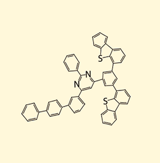 c1ccc(-c2ccc(-c3cccc(-c4cc(-c5cc(-c6cccc7c6sc6ccccc67)cc(-c6cccc7c6sc6ccccc67)c5)nc(-c5ccccc5)n4)c3)cc2)cc1